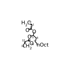 C=CC(=O)OC(CCCCCCCCCC)OC(=O)C=C